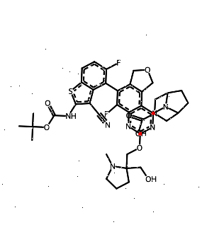 CN1CCCC1(CO)COc1nc(N2C3CCC2CN(C(=O)O)C3)c2c3c(c(-c4c(F)ccc5sc(NC(=O)OC(C)(C)C)c(C#N)c45)c(F)c2n1)COC3